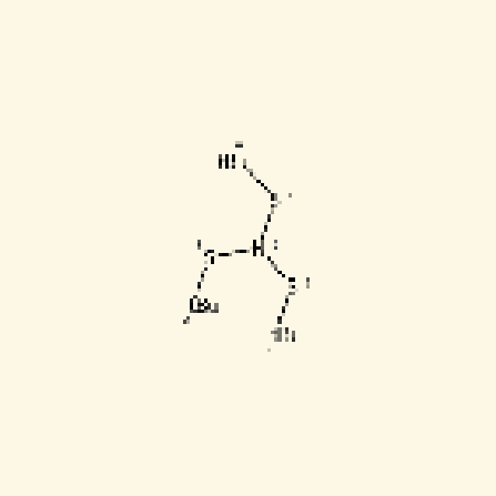 CC(C)(C)SN(SC(C)(C)C)SC(C)(C)C